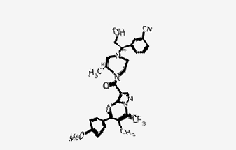 COc1ccc(-c2nc3c(C(=O)N4CCN([C@@H](CO)c5cccc(C#N)c5)C[C@H]4C)cnn3c(C(F)(F)F)c2C)cc1